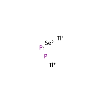 [P].[P].[Se-2].[Tl+].[Tl+]